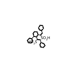 O=S(=O)(O)C(=Cc1ccccc1)c1cccc(-c2ccccc2)c1C(=Cc1ccccc1)S(=O)(=O)O